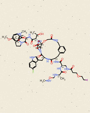 CNOCN[C@@H](C)C(=O)N[C@H](CNC(=O)CCOCCI)C(=O)N[C@H]1Cc2cccc(c2)CNC(=O)CO[C@H]2CCN(C(=O)[C@H](Cc3c[nH]c4ccc(F)cc34)NC1=O)[C@@H]2C(=O)N[C@H](C(=O)N[C@@H](Cc1ccc(OC)cc1)C(=O)N1CCC[C@@]1(C)C(=O)NC)[C@@H](C)O